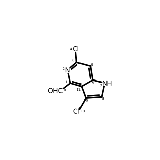 O=Cc1nc(Cl)cc2[nH]cc(Cl)c12